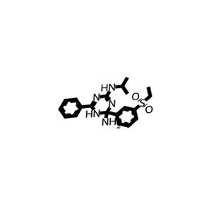 CCS(=O)(=O)c1cccc(C2(N)N=C(NC(C)C)N=C(c3ccccc3)N2)c1